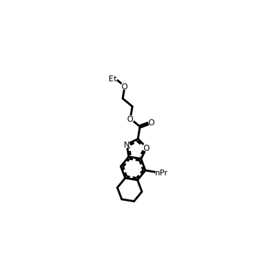 CCCc1c2c(cc3nc(C(=O)OCCOCC)oc13)CCCC2